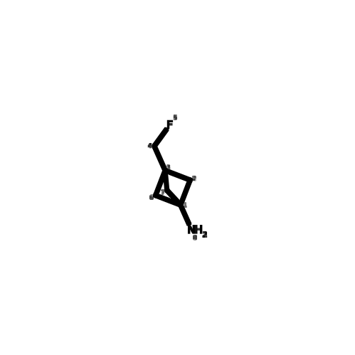 NC12CC(CF)(C1)C2